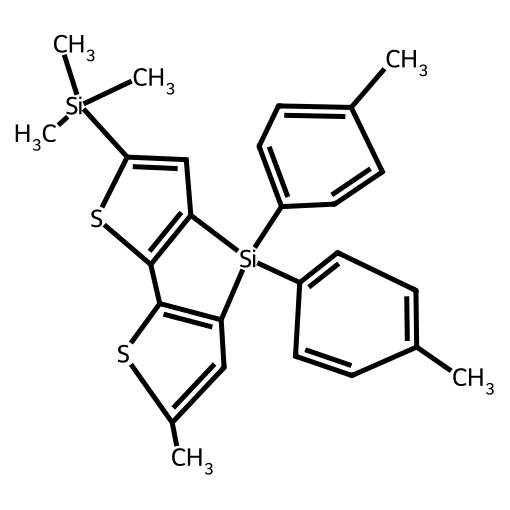 Cc1ccc([Si]2(c3ccc(C)cc3)c3cc(C)sc3-c3sc([Si](C)(C)C)cc32)cc1